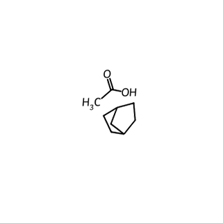 C1CC2CCC1C2.CC(=O)O